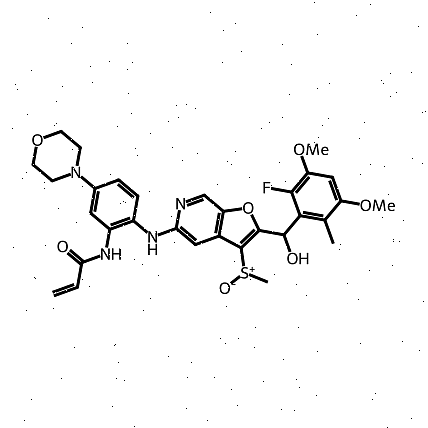 C=CC(=O)Nc1cc(N2CCOCC2)ccc1Nc1cc2c([S+](C)[O-])c(C(O)c3c(C)c(OC)cc(OC)c3F)oc2cn1